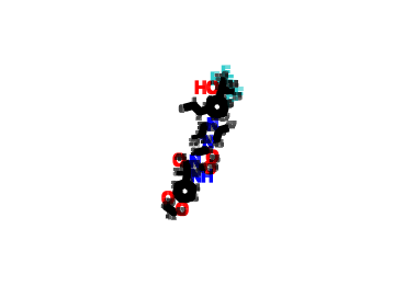 CCCc1cc(C(O)(C(F)(F)F)C(F)(F)F)ccc1N1C[C@H](C)N(C(=O)CN2C(=O)N[C@](C)(c3ccc4c(c3)OCCO4)C2=O)CC1C